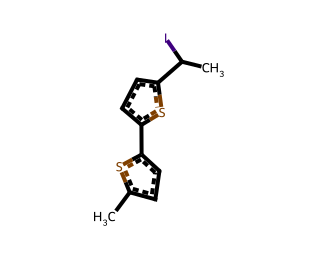 Cc1ccc(-c2ccc(C(C)I)s2)s1